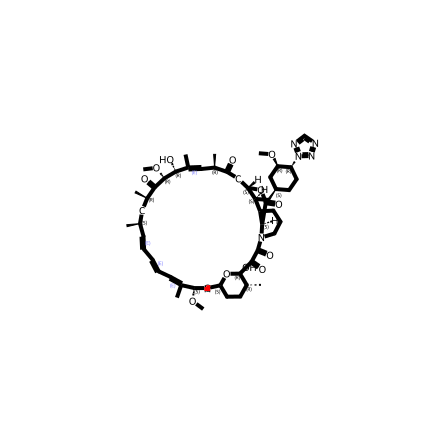 CO[C@H]1C[C@@H]2CC[C@@H](C)[C@@](O)(O2)C(=O)C(=O)N2CCCC3[C@H]2C(=O)O[C@@H](CC(=O)[C@H](C)/C=C(\C)[C@@H](O)[C@@H](OC)C(=O)[C@H](C)C[C@H](C)/C=C/C=C/C=C/1C)[C@H]3C[C@@H]1CC[C@@H](n2ncnn2)[C@H](OC)C1